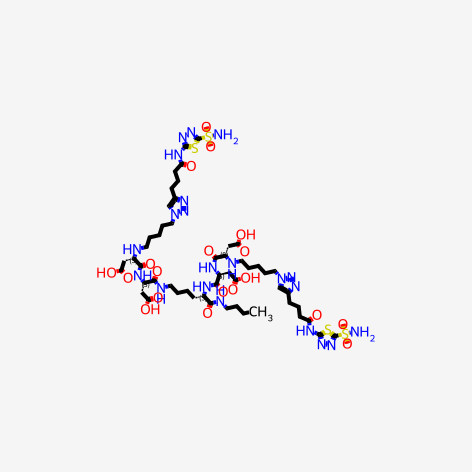 CCCCNC(=O)[C@H](CCCCNC(=O)[C@H](CC(=O)O)NC(=O)[C@H](CC(=O)O)NCCCCCn1cc(CCCC(=O)Nc2nnc(S(N)(=O)=O)s2)nn1)NC(=O)[C@H](CC(=O)O)NC(=O)[C@H](CC(=O)O)NCCCCCn1cc(CCCC(=O)Nc2nnc(S(N)(=O)=O)s2)nn1